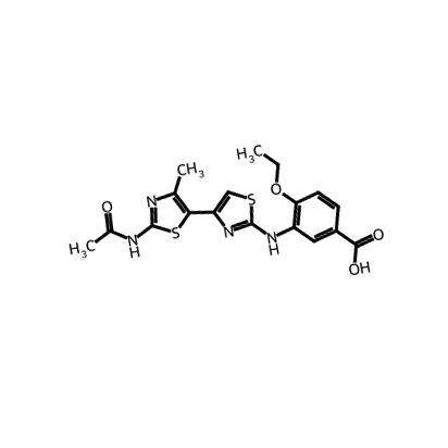 CCOc1ccc(C(=O)O)cc1Nc1nc(-c2sc(NC(C)=O)nc2C)cs1